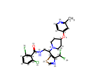 Cc1cc(OC2CCN(C(CNC(=O)c3c(F)cccc3Cl)c3scnc3C(F)F)CC2)ccn1